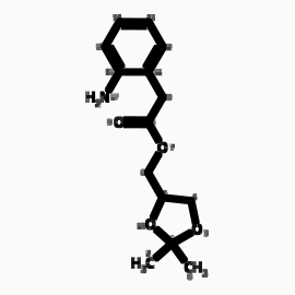 CC1(C)OCC(COC(=O)Cc2ccccc2N)O1